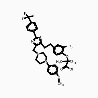 COc1ccc(N2CCN(Cc3nc(-c4ccc(C(F)(F)F)cc4)sc3CCc3ccc(OC(C)(C)C(=O)O)c(C)c3)CC2)cc1